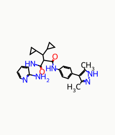 Cc1n[nH]c(C)c1-c1ccc(NC(=O)C(C(=O)Nc2cccnc2N)C(C2CC2)C2CC2)cc1